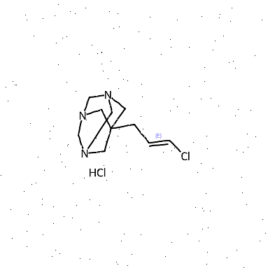 Cl.Cl/C=C/CC12CN3CN(CN(C3)C1)C2